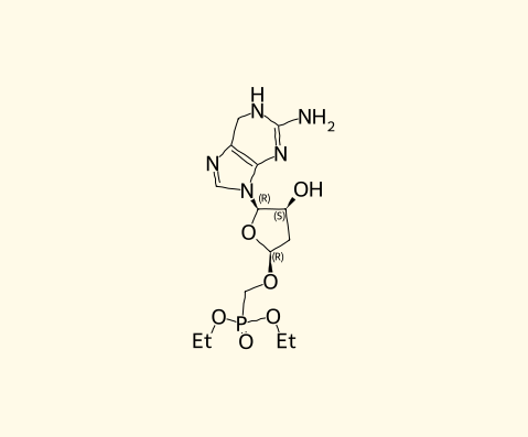 CCOP(=O)(CO[C@@H]1C[C@H](O)[C@H](n2cnc3c2N=C(N)NC3)O1)OCC